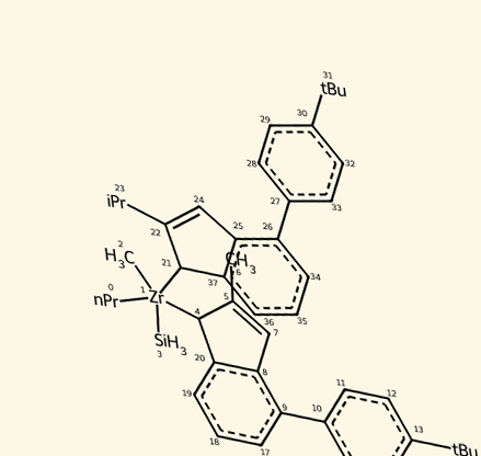 CC[CH2][Zr]([CH3])([SiH3])([CH]1C(C)=Cc2c(-c3ccc(C(C)(C)C)cc3)cccc21)[CH]1C(C(C)C)=Cc2c(-c3ccc(C(C)(C)C)cc3)cccc21